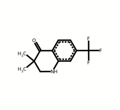 CC1(C)CNc2cc(C(F)(F)F)ccc2C1=O